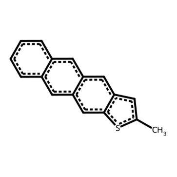 Cc1cc2cc3cc4ccccc4cc3cc2s1